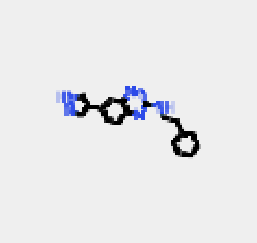 c1ccc(CCNc2nnc3cc(-c4cn[nH]c4)ccc3n2)cc1